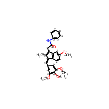 COc1ccc2c(c1)C(CC(=O)Nc1ccccc1)=C(C)/C2=C/c1cc(OC)c(OC)c(OC)c1